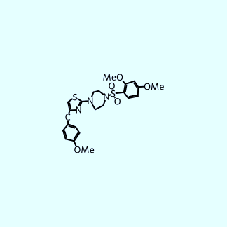 COc1ccc(Cc2csc(N3CCN(S(=O)(=O)c4ccc(OC)cc4OC)CC3)n2)cc1